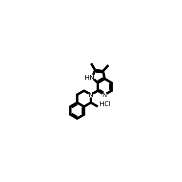 Cc1[nH]c2c(N3CCc4ccccc4C3C)nccc2c1C.Cl